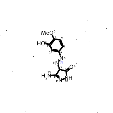 COc1ccc(/N=N/C2C(=O)NN=C2N)cc1O